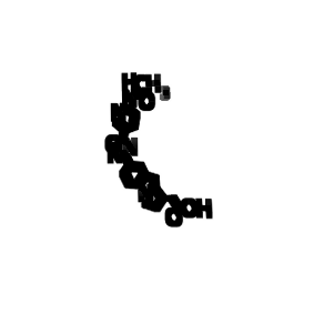 CC(=O)Nc1ccc(-c2nc(-c3ccc4c(c3)cc3n4CC[C@@H]3CC(=O)O)no2)cn1